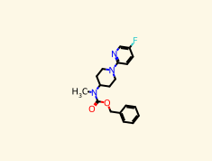 CN(C(=O)OCc1ccccc1)C1CCN(c2ccc(F)cn2)CC1